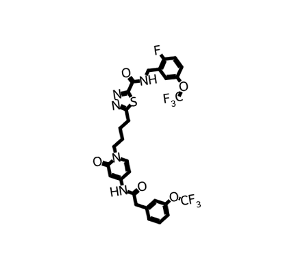 O=C(Cc1cccc(OC(F)(F)F)c1)Nc1ccn(CCCCc2nnc(C(=O)NCc3cc(OC(F)(F)F)ccc3F)s2)c(=O)c1